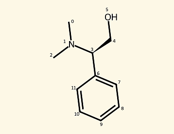 CN(C)[C@@H](CO)c1ccccc1